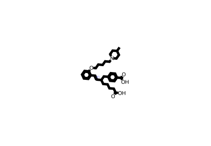 CC1CCN(CCCCCOc2ccccc2/C=C/C(CCCCC(=O)O)Cc2ccc(C(=O)O)cc2)CC1